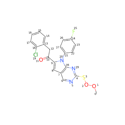 COOSc1ncc2cc(C(=O)Cc3ccccc3Cl)n(-c3ccc(F)cc3)c2n1